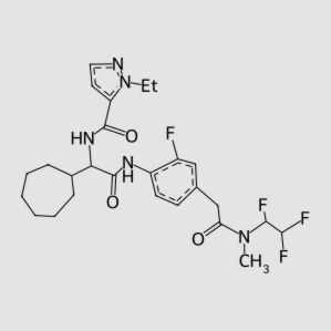 CCn1nccc1C(=O)NC(C(=O)Nc1ccc(CC(=O)N(C)C(F)C(F)F)cc1F)C1CCCCCC1